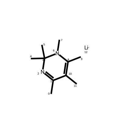 CC1=NC(C)(C)N(C)C(C)=C1C.[Li]